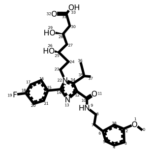 COc1cccc(CCNC(=O)c2nc(-c3ccc(F)cc3)n(CC[C@@H](O)C[C@@H](O)CC(=O)O)c2C(C)C)c1